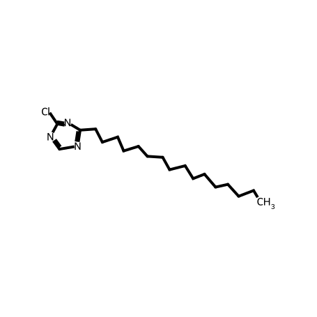 CCCCCCCCCCCCCCCCc1ncnc(Cl)n1